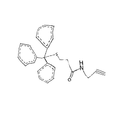 C#CCNC(=O)CCSC(c1ccccc1)(c1ccccc1)c1ccccc1